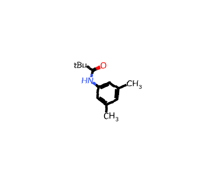 Cc1cc(C)cc(NC(=O)C(C)(C)C)c1